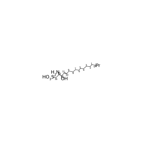 CC(C)CCCCCCCCC/C=C/C(O)C(N)CS(=O)(=O)O